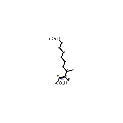 CCCCCCCCCCCCCCC(C)/C(C)=C/C(=O)O